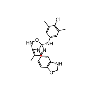 CC1=C2NOC(Nc3cc(C)c(Cl)c(C)c3)(N=C1)N2c1ccc2c(c1)NCO2